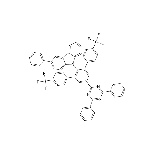 FC(F)(F)c1ccc(-c2cc(-c3nc(-c4ccccc4)nc(-c4ccccc4)n3)cc(-c3ccc(C(F)(F)F)cc3)c2-n2c3ccccc3c3cc(-c4ccccc4)ccc32)cc1